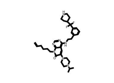 C=CCCCCn1c(=O)c(N2CCN(C(C)C)CC2)cc2c(NCCc3cccc(C(F)(F)C4CCNCC4)c3)ncnc21